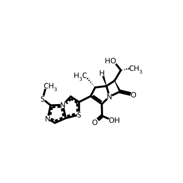 CSc1ncc2sc(C3=C(C(=O)O)N4C(=O)[C@H]([C@@H](C)O)[C@H]4[C@H]3C)cn12